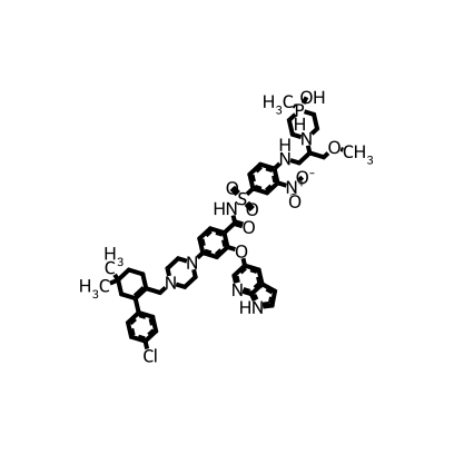 COCC(CNc1ccc(S(=O)(=O)NC(=O)c2ccc(N3CCN(CC4=C(c5ccc(Cl)cc5)CC(C)(C)CC4)CC3)cc2Oc2cnc3[nH]ccc3c2)cc1[N+](=O)[O-])N1CC[PH](C)(O)CC1